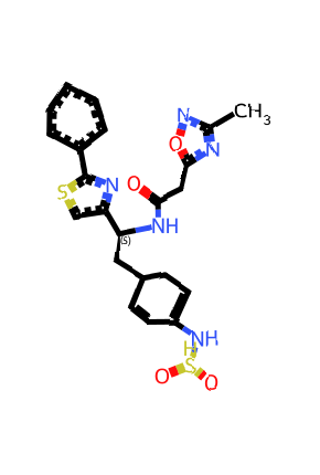 Cc1noc(CC(=O)N[C@@H](CC2C=CC(N[SH](=O)=O)=CC2)c2csc(-c3ccccc3)n2)n1